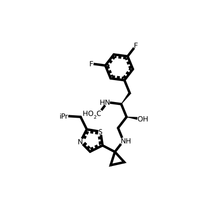 CC(C)Cc1ncc(C2(NC[C@H](O)[C@H](Cc3cc(F)cc(F)c3)NC(=O)O)CC2)s1